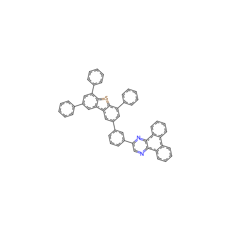 c1ccc(-c2cc(-c3ccccc3)c3sc4c(-c5ccccc5)cc(-c5cccc(-c6cnc7c8ccccc8c8ccccc8c7n6)c5)cc4c3c2)cc1